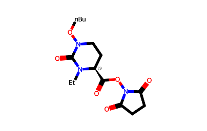 CCCCON1CC[C@@H](C(=O)ON2C(=O)CCC2=O)N(CC)C1=O